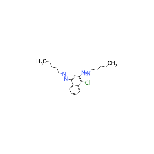 CCCCC/N=N/c1cc(/N=N/CCCCC)c2ccccc2c1Cl